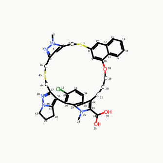 Cn1nc2cc1CSc1cc(c3ccccc3c1)OCCCc1c(C(O)O)n(C)c3c(c(Cl)ccc13)-c1c(nn3c1CCC3)CSC2